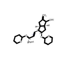 C=C1C[C@@H]2[C@H](/C=C/[C@H](CCCCC)OC3CCCCO3)[C@H](OC3CCCCO3)C[C@@H]2C1OC(C)=O